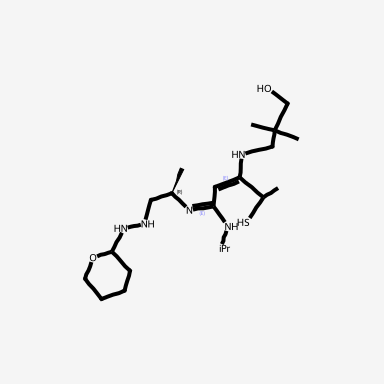 CC(C)NC(/C=C(/NCC(C)(C)CO)C(C)S)=N/[C@H](C)CNNC1CCCCO1